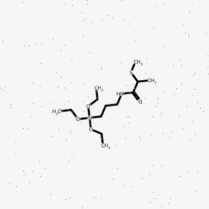 CCO[Si](CCCNC(=O)C(C)SC)(OCC)OCC